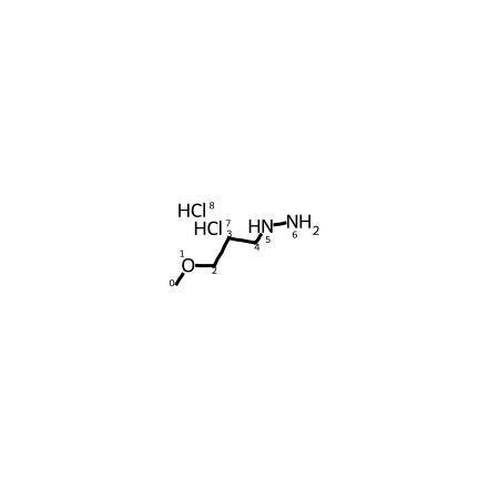 COCCCNN.Cl.Cl